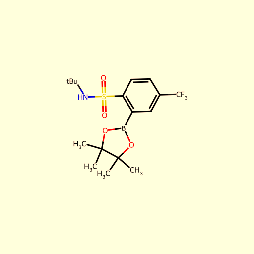 CC(C)(C)NS(=O)(=O)c1ccc(C(F)(F)F)cc1B1OC(C)(C)C(C)(C)O1